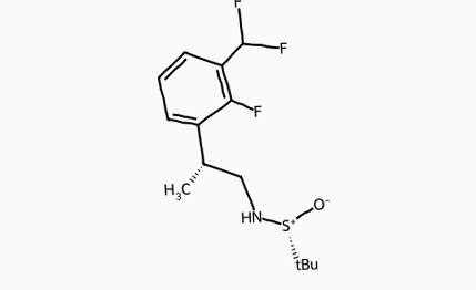 C[C@@H](CN[S@+]([O-])C(C)(C)C)c1cccc(C(F)F)c1F